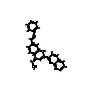 ON=c1cc(-c2cc3ccccc3cn2)oc2cc(C=Cc3ccccc3)ccc12